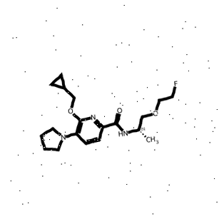 C[C@@H](COCCF)NC(=O)c1ccc(N2CCCC2)c(OCC2CC2)n1